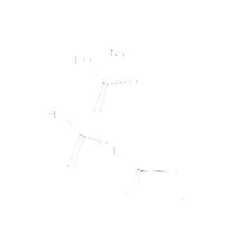 O=C([O-])O.O=C([O-])O.O=C([O-])O.[Na+].[S+2]